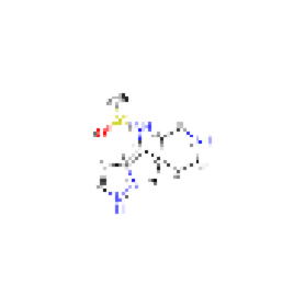 CC(C)(C)[S@@+]([O-])NC1=C2C=CNN2CC12CCNCC2